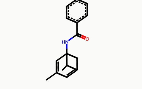 CC1=CC2(NC(=O)c3ccccc3)CC(=C1)C2C